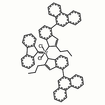 CCCC1=Cc2c(-c3cc4ccccc4c4ccccc34)cccc2[CH]1[Zr]([Cl])([Cl])(=[C]1c2ccccc2-c2ccccc21)[CH]1C(CCC)=Cc2c(-c3cc4ccccc4c4ccccc34)cccc21